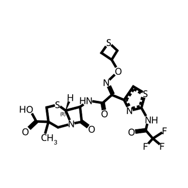 CC1(C(=O)O)CS[C@@H]2C(NC(=O)C(=NOC3CSC3)c3csc(NC(=O)C(F)(F)F)n3)C(=O)N2C1